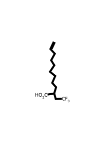 C=CCCCCCCCC(CC(F)(F)F)C(=O)O